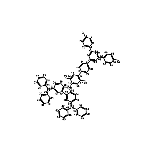 Cc1ccc(-c2cc(-c3ccc(-c4cc(C)c(-n5c6ccc(N(c7ccccc7)c7ccccc7)cc6c6cc(N(c7ccccc7)c7ccccc7)ccc65)cc4C)cc3)nc(-c3ccc(C)cc3)n2)cc1